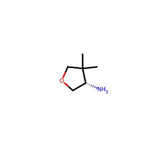 CC1(C)COC[C@H]1N